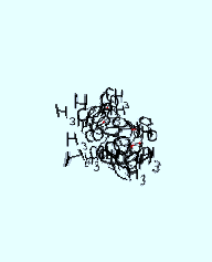 COC(=O)/C(C)=C\CC1(O)C(=O)C2CC(C(C)C)C13Oc1c(CC=C(C)C)c4c(c(O[C@H]5C[C@H]6COC(C)(C)O[C@@H]6[C@@H](O)[C@@H]5O)c1C15NCCN1C1=C(C(=O)c6ccccc61)C2C53)C=CC(C)(CCC=C(C)C)O4